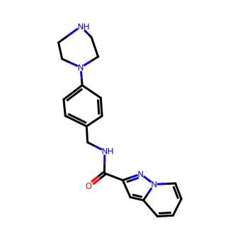 O=C(NCc1ccc(N2CCNCC2)cc1)c1cc2ccccn2n1